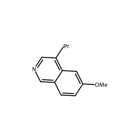 COc1ccc2cncc(C(C)C)c2c1